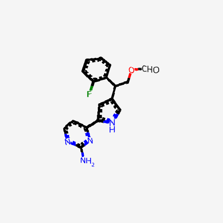 Nc1nccc(-c2cc(C(COC=O)c3ccccc3F)c[nH]2)n1